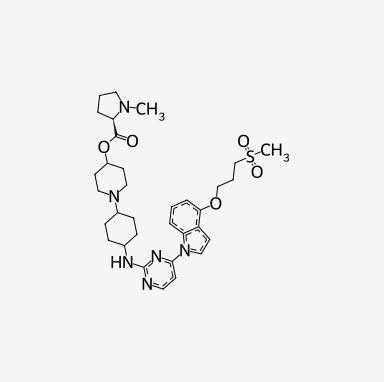 CN1CCC[C@@H]1C(=O)OC1CCN(C2CCC(Nc3nccc(-n4ccc5c(OCCCS(C)(=O)=O)cccc54)n3)CC2)CC1